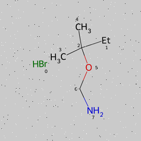 Br.CCC(C)(C)OCN